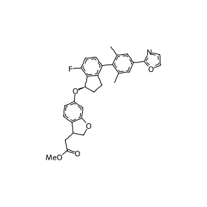 COC(=O)CC1COc2cc(O[C@@H]3CCc4c(-c5c(C)cc(-c6ncco6)cc5C)ccc(F)c43)ccc21